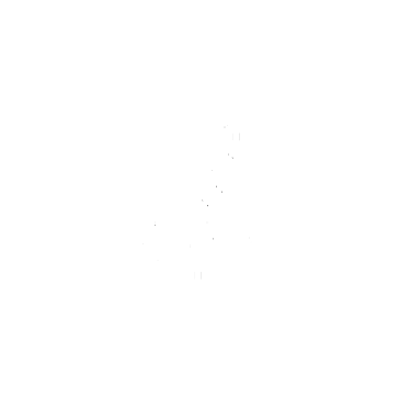 COc1cccc(C)c1Sc1nn(C(=O)N(C)C)cc1Cl